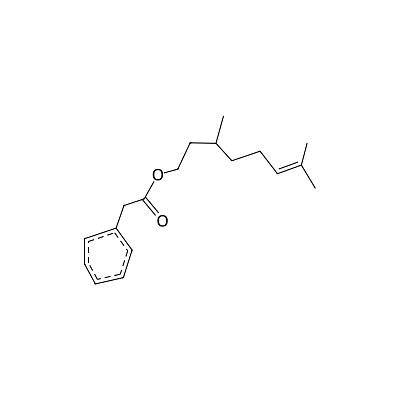 CC(C)=CCCC(C)CCOC(=O)Cc1ccccc1